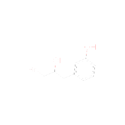 Oc1cccc(CC(O)CBr)c1